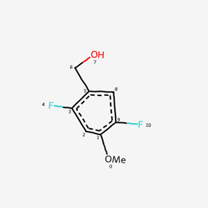 COc1cc(F)c(CO)cc1F